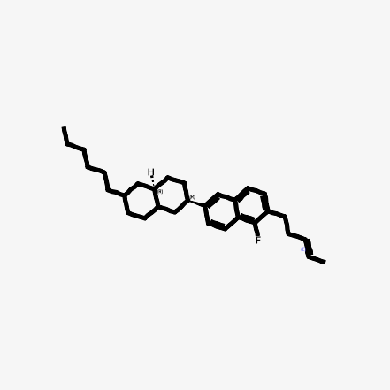 C/C=C/CCc1ccc2cc([C@@H]3CC[C@@H]4CC(CCCCCC)CCC4C3)ccc2c1F